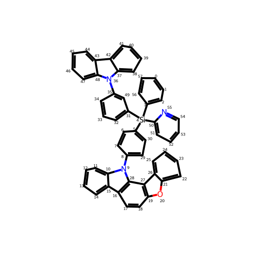 c1ccc([Si](c2ccc(-n3c4ccccc4c4ccc5oc6ccccc6c5c43)cc2)(c2cccc(-n3c4ccccc4c4ccccc43)c2)c2ccccn2)cc1